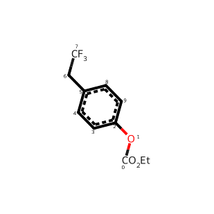 CCOC(=O)Oc1ccc(CC(F)(F)F)cc1